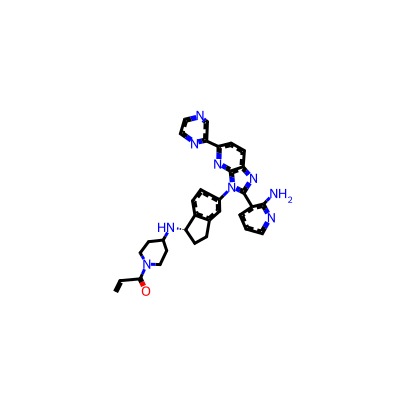 C=CC(=O)N1CCC(N[C@H]2CCc3cc(-n4c(-c5cccnc5N)nc5ccc(-c6cnccn6)nc54)ccc32)CC1